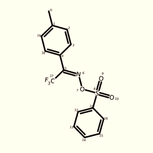 Cc1ccc(C(=NOS(=O)(=O)c2ccccc2)C(F)(F)F)cc1